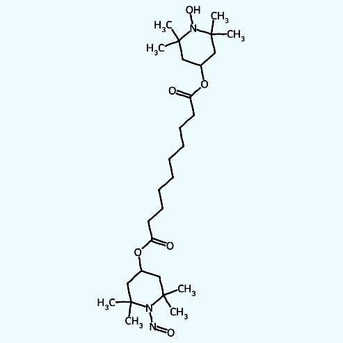 CC1(C)CC(OC(=O)CCCCCCCCC(=O)OC2CC(C)(C)N(N=O)C(C)(C)C2)CC(C)(C)N1O